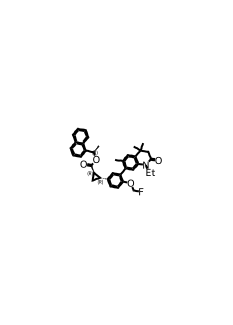 CCN1C(=O)CC(C)(C)c2cc(C)c(-c3cc([C@@H]4C[C@H]4C(=O)O[C@H](C)c4cccc5ccccc45)ccc3OCF)cc21